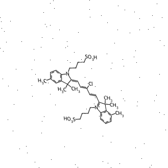 Cc1ccc2c(c1)C(C)(C)\C(=C/C=C(Cl)/C=C/C1=[N+](CCCCS(=O)(=O)O)c3cccc(C)c3C1(C)C)N2CCCCS(=O)(=O)O